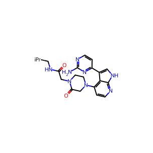 CC(C)CNC(=O)CN1CCN(c2ccnc3[nH]cc(-c4ccnc(N)n4)c23)CC1=O